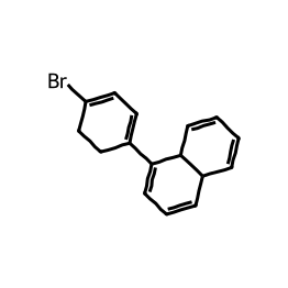 BrC1=CC=C(C2=CC=CC3C=CC=CC23)CC1